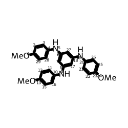 COc1ccc(Nc2cc(Nc3ccc(OC)cc3)cc(Nc3ccc(OC)cc3)c2)cc1